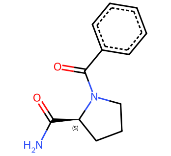 NC(=O)[C@@H]1CCCN1C(=O)c1ccccc1